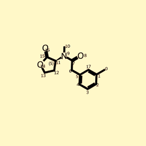 Cc1cccc(CC(=O)N(C)[C@H]2CCOC2=O)c1